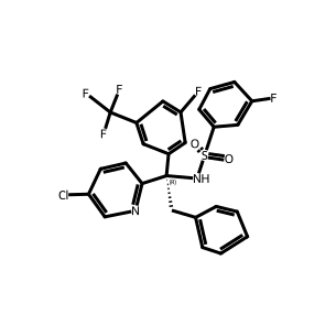 O=S(=O)(N[C@](Cc1ccccc1)(c1cc(F)cc(C(F)(F)F)c1)c1ccc(Cl)cn1)c1cccc(F)c1